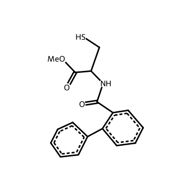 COC(=O)C(CS)NC(=O)c1ccccc1-c1ccccc1